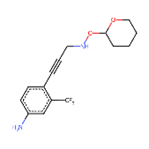 Nc1ccc(C#CCNOC2CCCCO2)c(C(F)(F)F)c1